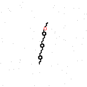 C=CCCOCc1ccc(CCCCc2ccc(CCCCc3ccc(C=CC)cc3)cc2)cc1